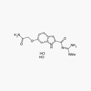 CNC(N)=NC(=O)c1cc2ccc(OCC(N)=O)cc2[nH]1.Cl.Cl